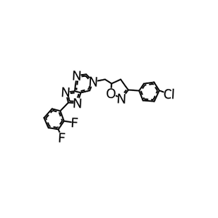 Fc1cccc(-c2nc3cn(CC4CC(c5ccc(Cl)cc5)=NO4)cnc-3n2)c1F